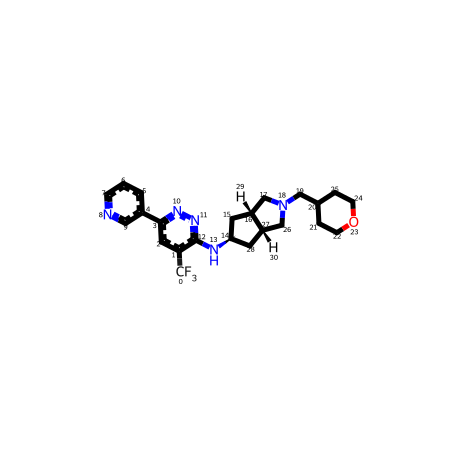 FC(F)(F)c1cc(-c2cccnc2)nnc1N[C@H]1C[C@@H]2CN(CC3CCOCC3)C[C@@H]2C1